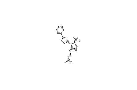 CN(C)CCCn1ncc(N)c1N1CCC(c2ccccc2)C1